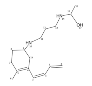 C=C/C=C\C1=C(C)CCC(NCCCNC(C)O)C1